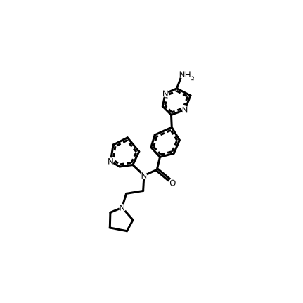 Nc1cnc(-c2ccc(C(=O)N(CCN3CCCC3)c3cccnc3)cc2)cn1